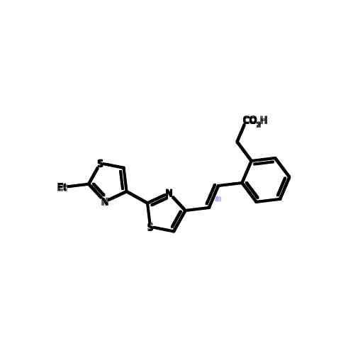 CCc1nc(-c2nc(/C=C/c3ccccc3CC(=O)O)cs2)cs1